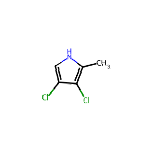 Cc1[nH]cc(Cl)c1Cl